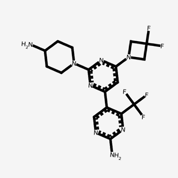 Nc1ncc(-c2cc(N3CC(F)(F)C3)nc(N3CCC(N)CC3)n2)c(C(F)(F)F)n1